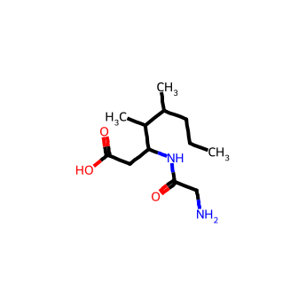 CCCC(C)C(C)C(CC(=O)O)NC(=O)CN